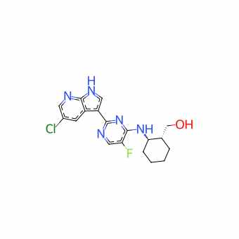 OC[C@@H]1CCCC[C@H]1Nc1nc(-c2c[nH]c3ncc(Cl)cc23)ncc1F